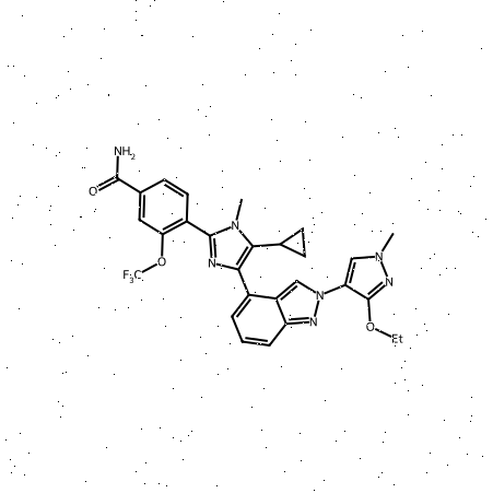 CCOc1nn(C)cc1-n1cc2c(-c3nc(-c4ccc(C(N)=O)cc4OC(F)(F)F)n(C)c3C3CC3)cccc2n1